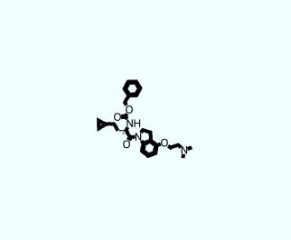 CN(C)CCOc1cccc2c1CCN2C(=O)[C@H](CCC1CC1)NC(=O)OCc1ccccc1